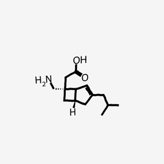 CC(C)CC1=CC2[C@H](C1)C[C@@]2(CN)CC(=O)O